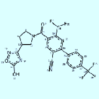 N#Cc1cc(C(=O)N2CCC(c3noc(O)n3)C2)c(C(F)F)nc1-c1ccc(C(F)(F)F)cc1